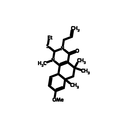 C=CCN1C(=O)C2=C(C3C=CC(OC)=CC3(C)CC2(C)C)N(C)C1SCC